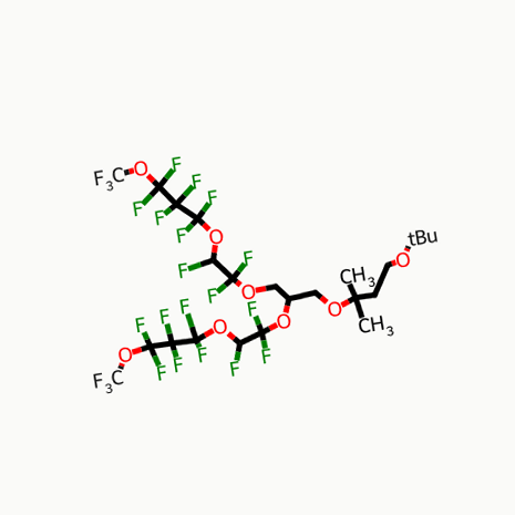 CC(C)(C)OCCC(C)(C)OCC(COC(F)(F)C(F)OC(F)(F)C(F)(F)C(F)(F)OC(F)(F)F)OC(F)(F)C(F)OC(F)(F)C(F)(F)C(F)(F)OC(F)(F)F